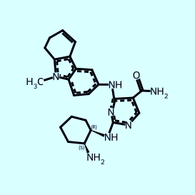 Cn1c2c(c3cc(Nc4nc(N[C@@H]5CCCC[C@@H]5N)ncc4C(N)=O)ccc31)C=CCC2